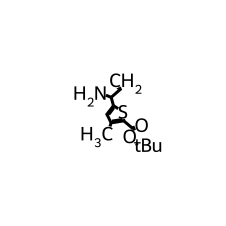 C=CC(N)c1cc(C)c(C(=O)OC(C)(C)C)s1